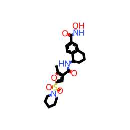 Cc1oc(S(=O)(=O)N2CCCCC2)cc1C(=O)NC1CCCc2cc(C(=O)NO)ccc21